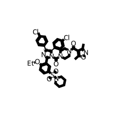 CCOc1ccc(S(=O)(=O)N2CCCCC2)cc1C1=N[C@@H](c2ccc(Cl)cc2)[C@@H](c2ccc(Cl)cc2)N1C(=O)N1CCN(C(=O)c2c(C)noc2C)CC1